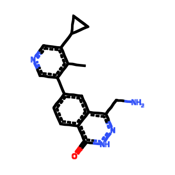 Cc1c(-c2ccc3c(=O)[nH]nc(CN)c3c2)cncc1C1CC1